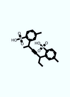 CCC(C#CC(C)c1cc(C)ccc1S(=O)(=O)O)c1cc(C)ccc1S(=O)(=O)O